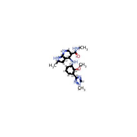 CNC(=O)c1cnc2[nH]c(C)cc2c1Nc1cccc(-c2ncn(C)n2)c1OC